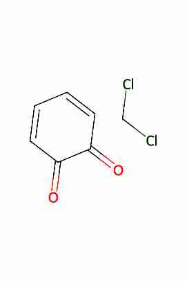 ClCCl.O=C1C=CC=CC1=O